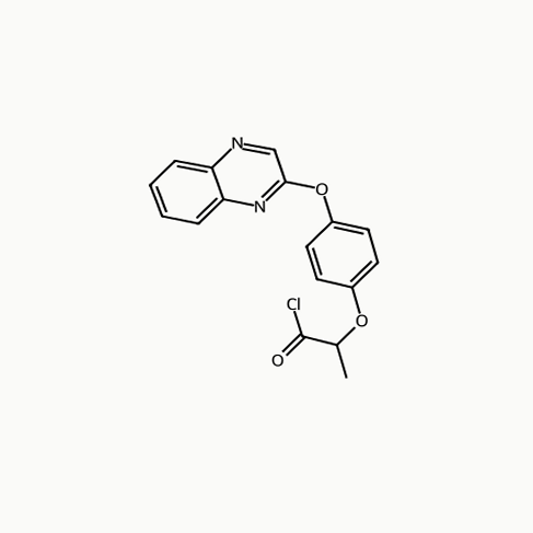 CC(Oc1ccc(Oc2cnc3ccccc3n2)cc1)C(=O)Cl